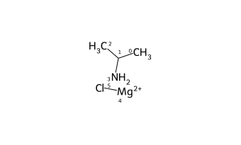 CC(C)N.[Mg+2][Cl]